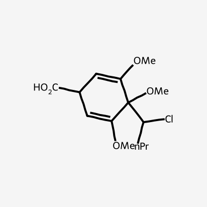 CCCC(Cl)C1(OC)C(OC)=CC(C(=O)O)C=C1OC